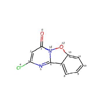 O=c1cc(Cl)nc2c3ccccc3on12